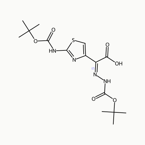 CC(C)(C)OC(=O)N/N=C(\C(=O)O)c1csc(NC(=O)OC(C)(C)C)n1